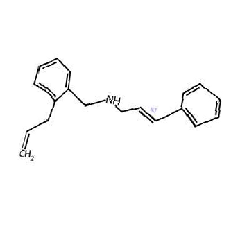 C=CCc1ccccc1CNC/C=C/c1ccccc1